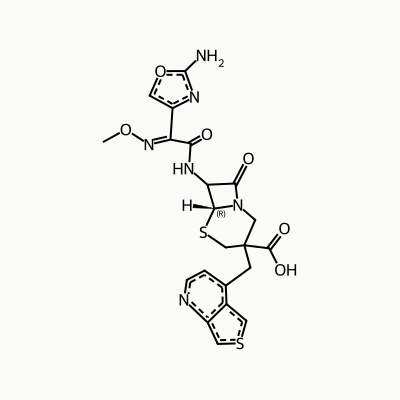 CON=C(C(=O)NC1C(=O)N2CC(Cc3ccnc4cscc34)(C(=O)O)CS[C@H]12)c1coc(N)n1